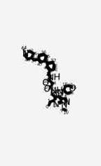 CCc1nc2c(cnn2CC)c(NC2CCOCC2)c1CNC(=O)CC(=O)NCc1cccc(-c2cccc(CC3CCN(C)CC3)c2)c1